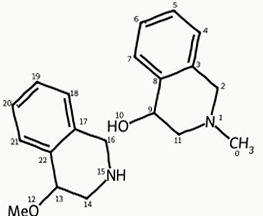 CN1Cc2cc[c]cc2C(O)C1.COC1CNCc2cc[c]cc21